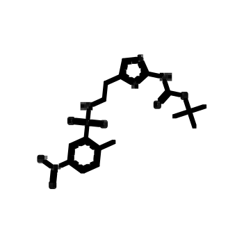 Cc1ccc([N+](=O)[O-])cc1S(=O)(=O)NCCc1csc(NC(=O)OC(C)(C)C)n1